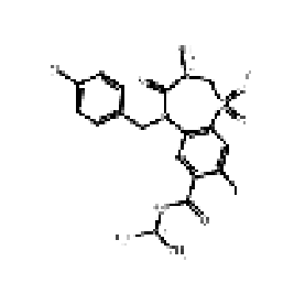 C[C@H](NC(=O)c1cc2c(cc1F)S(=O)(=O)C[C@H](N)C(=O)N2Cc1ccc(Cl)cc1)C(F)(F)F.Cl